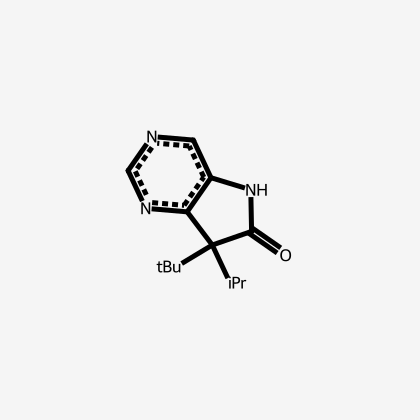 CC(C)C1(C(C)(C)C)C(=O)Nc2cncnc21